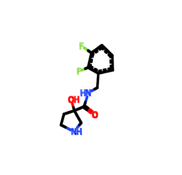 O=C(NCc1cccc(F)c1F)C1(O)CCNC1